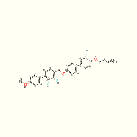 C=CCCOc1ccc(-c2ccc(OCc3ccc(-c4ccc(OCC)cc4)c(F)c3F)cc2)cc1F